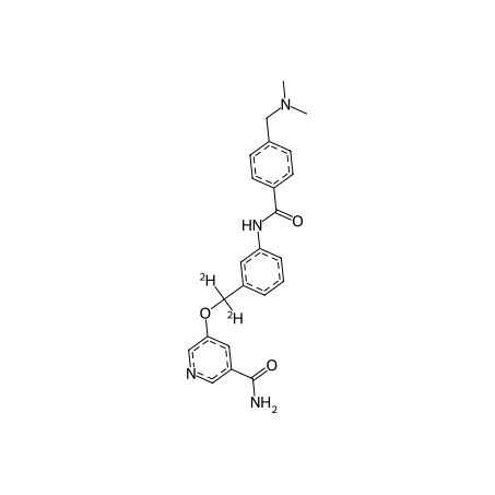 [2H]C([2H])(Oc1cncc(C(N)=O)c1)c1cccc(NC(=O)c2ccc(CN(C)C)cc2)c1